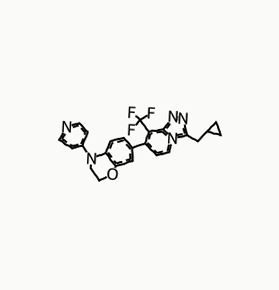 FC(F)(F)c1c(-c2ccc3c(c2)OCCN3c2ccncc2)ccn2c(CC3CC3)nnc12